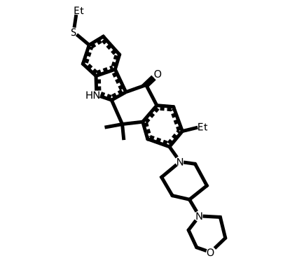 CCSc1ccc2c3c([nH]c2c1)C(C)(C)c1cc(N2CCC(N4CCOCC4)CC2)c(CC)cc1C3=O